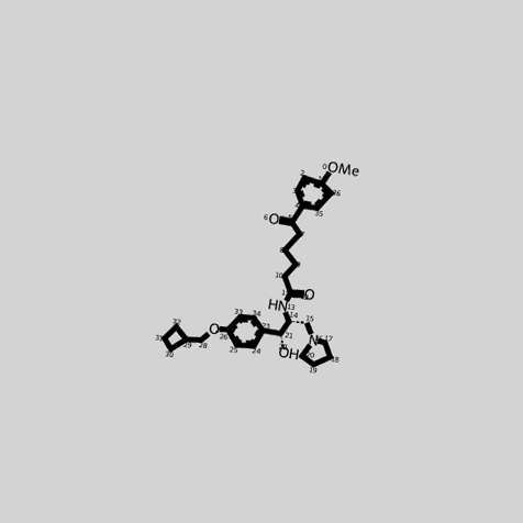 COc1ccc(C(=O)CCCCC(=O)N[C@H](CN2CCCC2)[C@H](O)c2ccc(OCC3CCC3)cc2)cc1